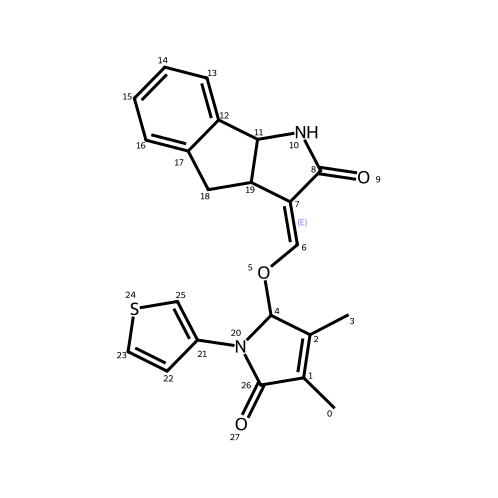 CC1=C(C)C(O/C=C2/C(=O)NC3c4ccccc4CC23)N(c2ccsc2)C1=O